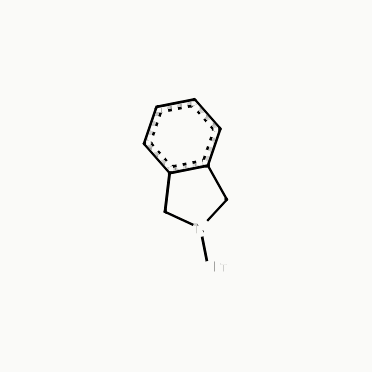 CCCN1Cc2ccccc2C1